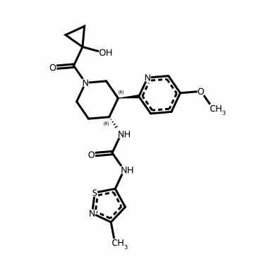 COc1ccc([C@@H]2CN(C(=O)C3(O)CC3)CC[C@H]2NC(=O)Nc2cc(C)ns2)nc1